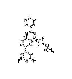 COC1CN(c2nc(-c3cccnc3)nc3ccc(-c4cc(F)cc(F)c4)cc23)C1